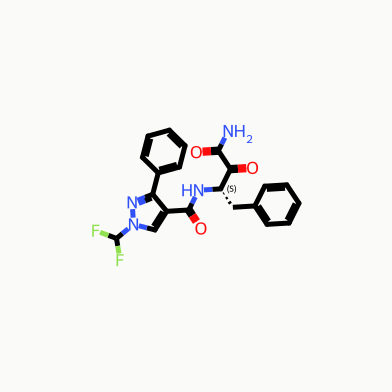 NC(=O)C(=O)[C@H](Cc1ccccc1)NC(=O)c1cn(C(F)F)nc1-c1ccccc1